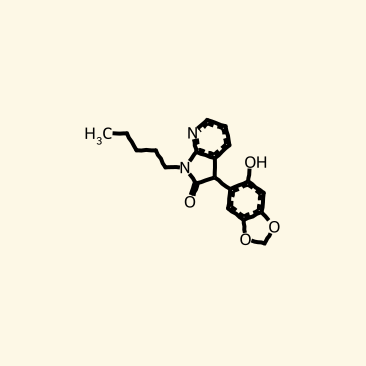 CCCCCN1C(=O)C(c2cc3c(cc2O)OCO3)c2cccnc21